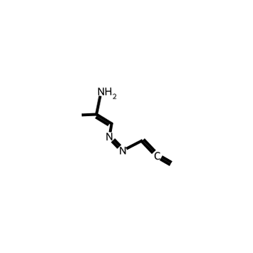 C=C=C/N=N\C=C(/C)N